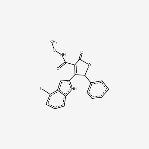 CONC(=O)C1=C(c2cc3c(F)cccc3[nH]2)C(c2ccccc2)OC1=O